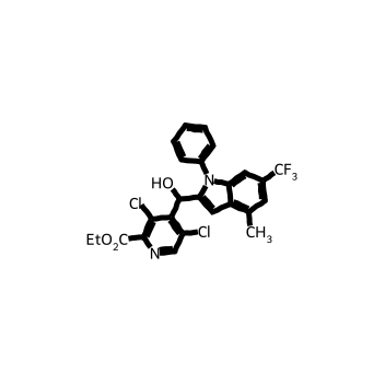 CCOC(=O)c1ncc(Cl)c(C(O)c2cc3c(C)cc(C(F)(F)F)cc3n2-c2ccccc2)c1Cl